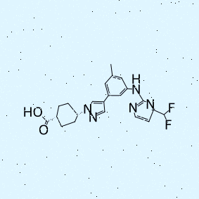 Cc1cc(Nc2nccc(C(F)F)n2)cc(-c2cnn([C@H]3CC[C@@H](C(=O)O)CC3)c2)c1